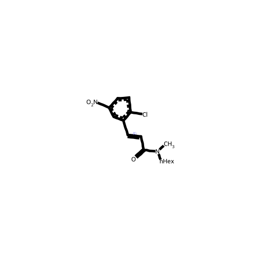 CCCCCCN(C)C(=O)/C=C/c1cc([N+](=O)[O-])ccc1Cl